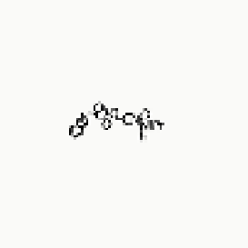 CC(C)NC(=O)N1CCC(COc2coc(Cn3cc4ccccc4c3)cc2=O)CC1